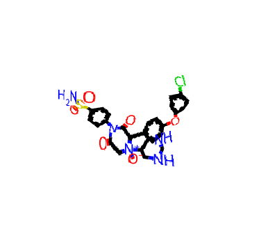 NS(=O)(=O)c1ccc(N2C(=O)C[N+]([O-])(C3CNCNC3)C(c3ccc(Oc4ccc(Cl)cc4)cc3)C2=O)cc1